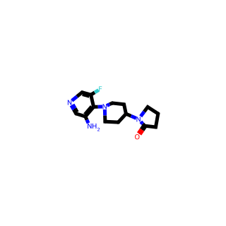 Nc1cncc(F)c1N1CCC(N2CCCC2=O)CC1